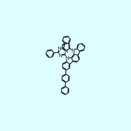 c1ccc(-c2ccc(-c3ccc4c(c3)c3ccc5c6ccccc6n(-c6ccccc6)c5c3n4-c3nc(-c4ccccc4)nc(-c4ccccc4)n3)cc2)cc1